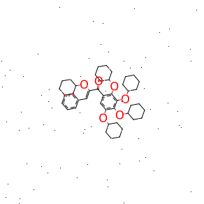 O=C(C(=Cc1ccccc1)OC1CCCCC1)c1cc(OC2CCCCC2)c(OC2CCCCC2)c(OC2CCCCC2)c1OC1CCCCC1